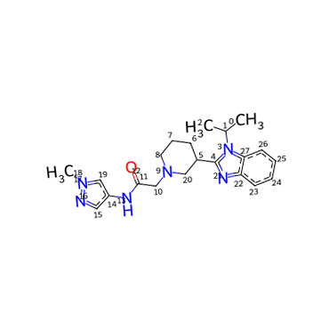 CC(C)n1c(C2CCCN(CC(=O)Nc3cnn(C)c3)C2)nc2ccccc21